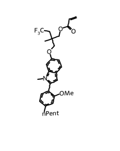 C=CC(=O)OCC(C)(COc1ccc2cc(-c3ccc(CCCCC)cc3OC)n(C)c2c1)CC(F)(F)F